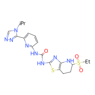 CCS(=O)(=O)C1CCc2sc(NC(=O)Nc3cccc(-c4nncn4C(C)C)n3)nc2N1